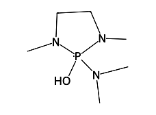 CN(C)[P]1(O)N(C)CCN1C